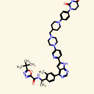 Cc1cc(-c2ncnc3[nH]c(-c4ccc(N5CCN(CC6CCN(c7ccc(N8CCC(=O)NC8=O)cc7)CC6)CC5)cn4)cc23)ccc1[C@@H](C)NC(=O)c1nnc(C(C)(C)C)o1